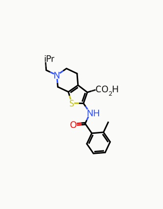 Cc1ccccc1C(=O)Nc1sc2c(c1C(=O)O)CCN(CC(C)C)C2